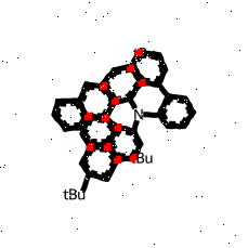 CC(C)(C)c1cc(-c2cccc3cccc(-c4ccccc4N(c4ccccc4-c4ccccc4)c4cc(C(C)(C)C)ccc4-c4ccccc4)c23)cc(C(C)(C)C)c1